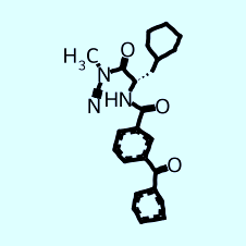 CN(C#N)C(=O)[C@H](CC1CCCCC1)NC(=O)c1cccc(C(=O)c2ccccc2)c1